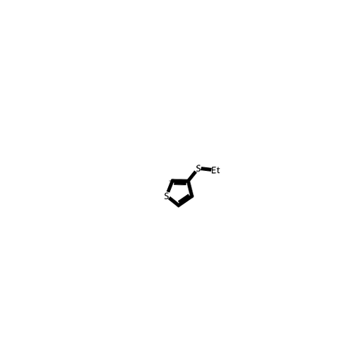 CCSc1[c]scc1